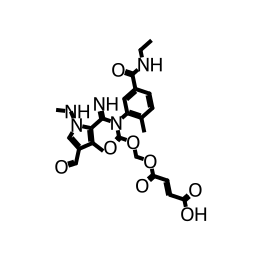 CCNC(=O)c1ccc(C)c(N(C(=N)c2c(C)c(C=O)cn2NC)C(=O)OCOC(=O)/C=C/C(=O)O)c1